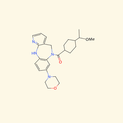 COC(C)C1CCC(C(=O)N2Cc3cccnc3Nc3ccc(N4CCOCC4)cc32)CC1